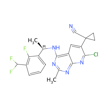 Cc1nc(N[C@H](C)c2cccc(C(F)F)c2F)c2cc(C3(C#N)CC3)c(Cl)nc2n1